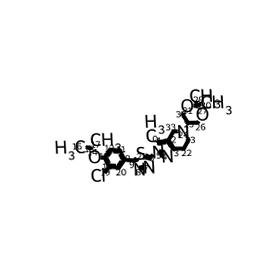 Cc1c2c(nn1-c1nnc(-c3ccc(OC(C)C)c(Cl)c3)s1)CCN(C1COC(C)(C)OC1)C2